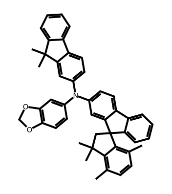 Cc1ccc(C)c2c1C(C)(C)CC21c2ccccc2-c2ccc(N(c3ccc4c(c3)OCO4)c3ccc4c(c3)C(C)(C)c3ccccc3-4)cc21